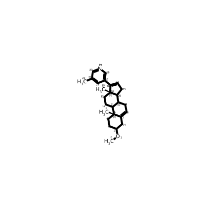 COC1CC[C@@]2(C)C(=CCC3C2CC[C@]2(C)C(c4cncc(C)c4)=CCC32)C1